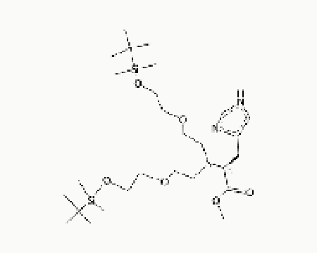 COC(=O)[C@H](Cc1c[nH]cn1)N(CCOCCO[Si](C)(C)C(C)(C)C)CCOCCO[Si](C)(C)C(C)(C)C